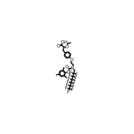 CCOC(Cc1ccc(OCCN(CC(F)(F)C(F)(F)C(F)(F)C(F)(F)C(F)(F)C(F)(F)F)C(=O)Oc2c(C)cc(C)cc2C)cc1)C(=O)O